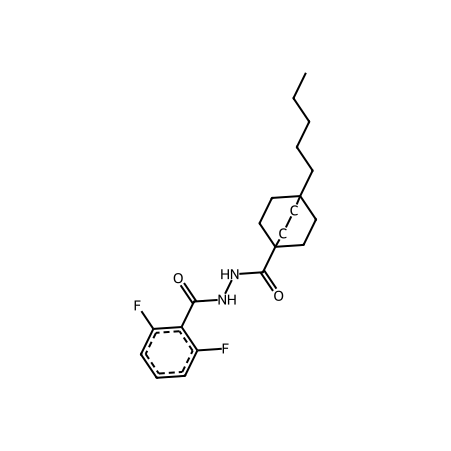 CCCCCC12CCC(C(=O)NNC(=O)c3c(F)cccc3F)(CC1)CC2